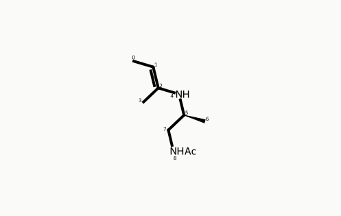 C/C=C(\C)N[C@@H](C)CNC(C)=O